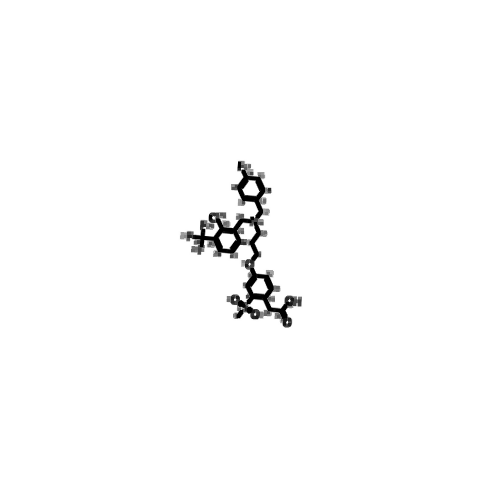 CS(=O)(=O)c1cc(OCCCN(Cc2ccc(F)cc2)Cc2cccc(C(F)(F)F)c2Cl)ccc1CC(=O)O